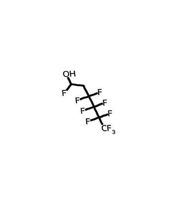 OC(F)CC(F)(F)C(F)(F)C(F)(F)C(F)(F)F